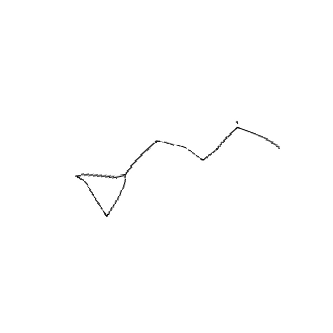 C[CH]CCC1CC1